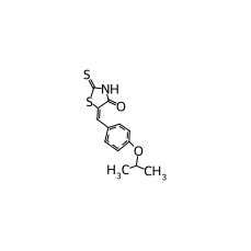 CC(C)Oc1ccc(/C=C2/SC(=S)NC2=O)cc1